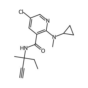 C#CC(C)(CC)NC(=O)c1cc(Cl)cnc1N(C)C1CC1